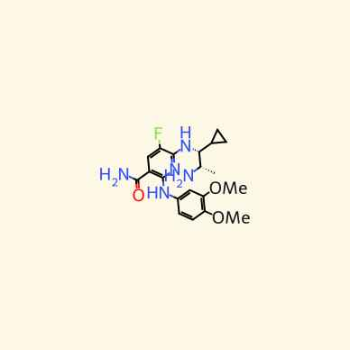 COc1ccc(Nc2nc(N[C@H](C3CC3)[C@H](C)N)c(F)cc2C(N)=O)cc1OC